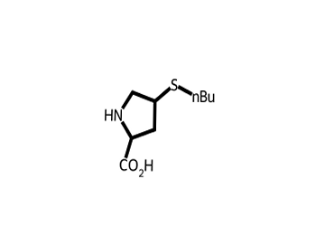 CCCCSC1CNC(C(=O)O)C1